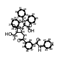 C[C@@H](O)C1C(=O)N(C(C(=O)O)=P(c2ccccc2)(c2ccccc2)c2ccccc2)C1CC(=O)c1cccc(C(=O)Nc2ccncc2)c1